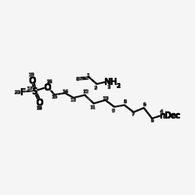 C=CCN.CCCCCCCCCCCCCCCCCCCCCOS(=O)(=O)F